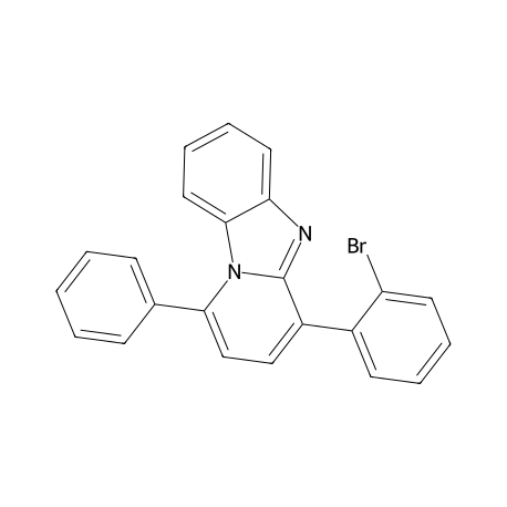 Brc1ccccc1-c1ccc(-c2ccccc2)n2c1nc1ccccc12